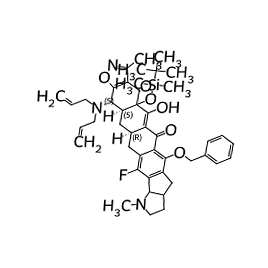 C=CCN(CC=C)[C@@H]1c2onc(C)c2C(=O)C2(O[Si](C)(C)C(C)(C)C)C(O)=C3C(=O)c4c(c(F)c5c(c4OCc4ccccc4)CC4CCN(C)C54)C[C@H]3C[C@@H]12